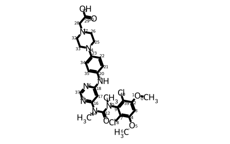 COc1cc(OC)c(Cl)c(N(C)C(=O)N(C)c2cc(Nc3ccc(N4CCN(CC(=O)O)CC4)cc3)ncn2)c1Cl